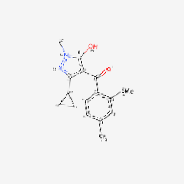 CSc1cc(C(F)(F)F)ccc1C(=O)c1c(C2CC2)nn(C)c1O